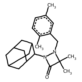 Cc1ccc(C)c(CN2N(C3C4CC5CC(C4)CC3C5)C(=O)C2(C)C)c1